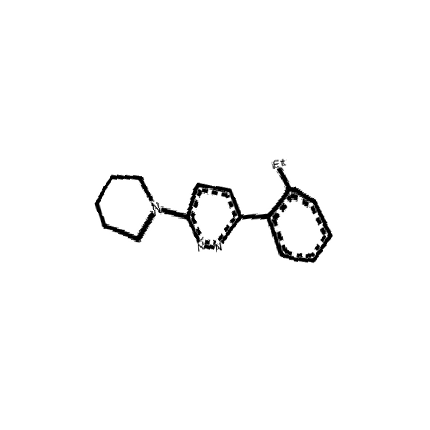 CCc1ccccc1-c1ccc(N2CCCCC2)nn1